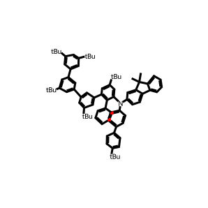 CC(C)(C)c1ccc(-c2ccc(N(c3ccc4c(c3)C(C)(C)c3ccccc3-4)c3cc(C(C)(C)C)cc(-c4cc(-c5cc(-c6cc(C(C)(C)C)cc(C(C)(C)C)c6)cc(C(C)(C)C)c5)cc(C(C)(C)C)c4)c3-c3ccccc3)cc2)cc1